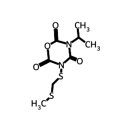 CSCSn1c(=O)oc(=O)n(C(C)C)c1=O